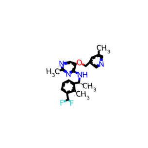 Cc1cncc(COc2cnc(C)nc2N[C@H](C)c2cccc(C(F)F)c2C)c1